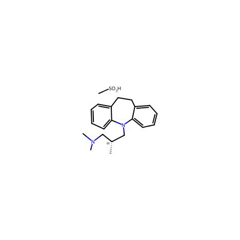 CS(=O)(=O)O.C[C@H](CN(C)C)CN1c2ccccc2CCc2ccccc21